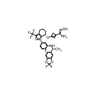 C[C@H](Nc1cc(-n2nc(C(F)(F)F)c3c2[C@@H](OC24CC(C(N)=NO)(C2)C4)CCC3)ccc1F)c1ccc2c(c1)OC(F)(F)O2